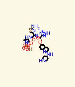 CC1(C)[C@H](NC(=O)/C(=N\O[C@H](COc2ccc3nc(NC4CCNCC4)ccc3c2)c2nn[nH]n2)c2csc(N)n2)C(=O)N1OS(=O)(=O)O